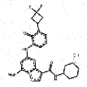 CNc1cc(Nc2cccn(C3CC(F)(F)C3)c2=O)nc2c(C(=O)NC3CCC[C@@H](O)C3)cnn12